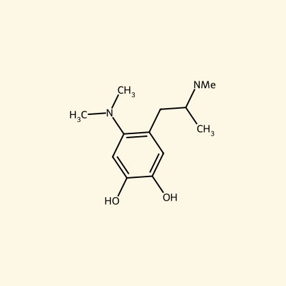 CNC(C)Cc1cc(O)c(O)cc1N(C)C